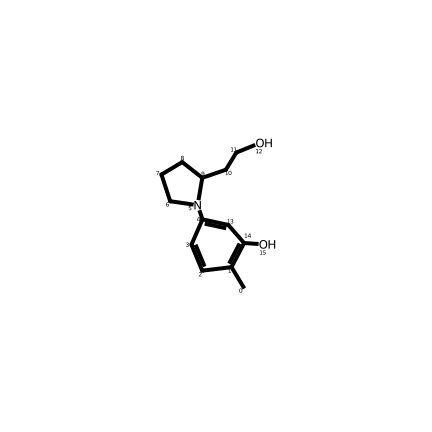 Cc1ccc(N2CCCC2CCO)cc1O